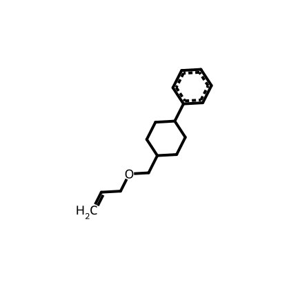 C=CCOCC1CCC(c2ccccc2)CC1